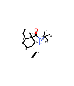 C=C[C@@H]1CCC(CC)C(C)(C(=O)NC(C)(C)C)C1